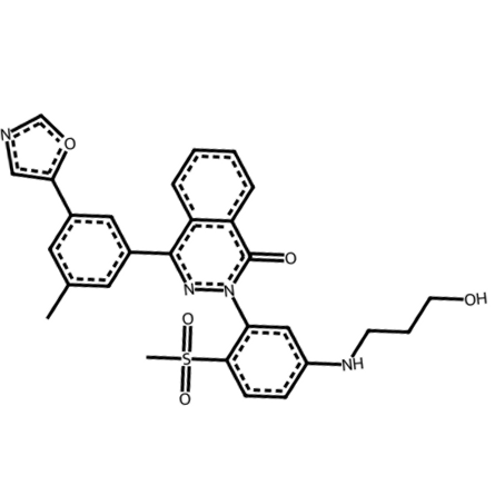 Cc1cc(-c2cnco2)cc(-c2nn(-c3cc(NCCCO)ccc3S(C)(=O)=O)c(=O)c3ccccc23)c1